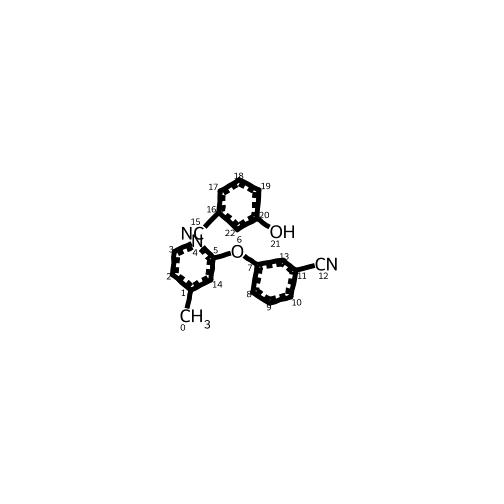 Cc1ccnc(Oc2cccc(C#N)c2)c1.N#Cc1cccc(O)c1